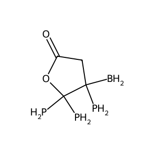 BC1(P)CC(=O)OC1(P)P